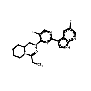 O=C(CC(F)(F)F)N1CCCCC1CNc1nc(-c2c[nH]c3ncc(Cl)cc23)ncc1F